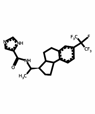 CC(NC(=O)c1cnc[nH]1)[C@@H]1CCC2c3ccc(C(F)(C(F)(F)F)C(F)(F)F)cc3CCC21